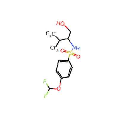 O=S(=O)(NC(CO)C(C(F)(F)F)C(F)(F)F)c1ccc(OC(F)F)cc1